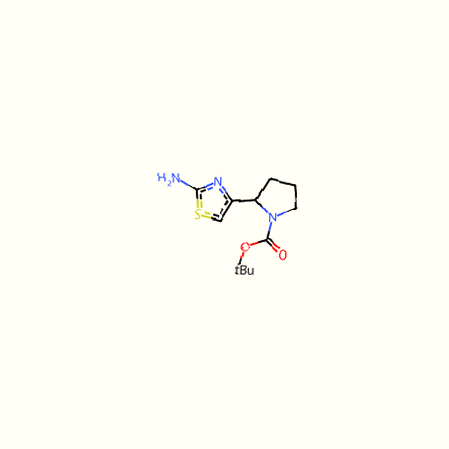 CC(C)(C)OC(=O)N1CCCC1c1csc(N)n1